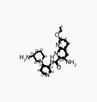 CCOc1ccc2cc(N)c(C(=O)Nc3cnccc3N3CCCC(N)C3)nc2n1